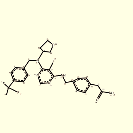 CC(F)(F)c1ccc(CN(c2ncnc(NCc3ccc(CC(N)=O)cc3)c2F)C2CCOC2)cc1